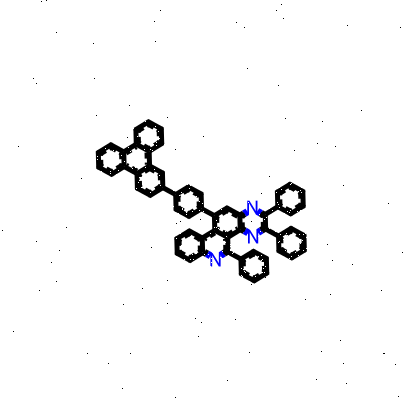 c1ccc(-c2nc3cc(-c4ccc(-c5ccc6c7ccccc7c7ccccc7c6c5)cc4)c4c5ccccc5nc(-c5ccccc5)c4c3nc2-c2ccccc2)cc1